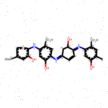 CNc1ccc(Nc2cc(O)c(N=C3C=CC(=Nc4cc(O)c(C)cc4S(=O)(=O)O)C(O)C3)cc2S(=O)(=O)O)c(O)c1